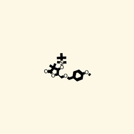 COc1ccc(COC[C@H]2OC(=O)C(C)(C)C2O[Si](C)(C)C(C)(C)C)cc1